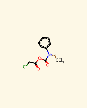 O=C(CCl)OC(=O)N(SC(Cl)(Cl)Cl)c1ccccc1